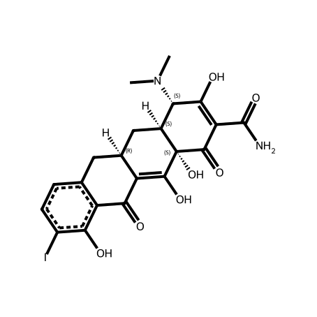 CN(C)[C@@H]1C(O)=C(C(N)=O)C(=O)[C@@]2(O)C(O)=C3C(=O)c4c(ccc(I)c4O)C[C@H]3C[C@@H]12